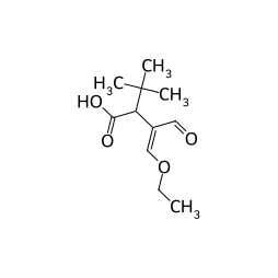 CCO/C=C(\C=O)C(C(=O)O)C(C)(C)C